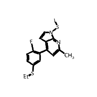 CCSc1ccc(F)c(-c2cc(C)nc3c2ccn3SI)c1